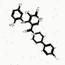 Cc1ccc(Cl)cc1Nc1c(C(=O)N2CCC(c3ccc(F)cc3)CC2)c[nH]c(=O)c1Cl